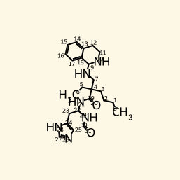 CCCCC(CC)(CNC1NCCc2ccccc21)C(=O)NC(Cc1cnc[nH]1)NC=O